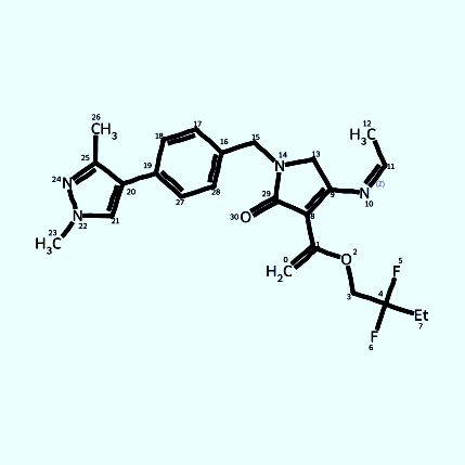 C=C(OCC(F)(F)CC)C1=C(/N=C\C)CN(Cc2ccc(-c3cn(C)nc3C)cc2)C1=O